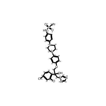 CC(C)S(=O)(=O)Nc1ccc(N2CCN(c3ccc(OCC(O)(Cn4cncn4)c4ccc(Cl)cc4Cl)cc3)CC2)cc1